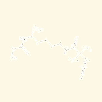 CC(C)(C)OC(=O)N[C@@H](CCCCNC(=O)C(C)(C)N=[N+]=[N-])C(=O)O